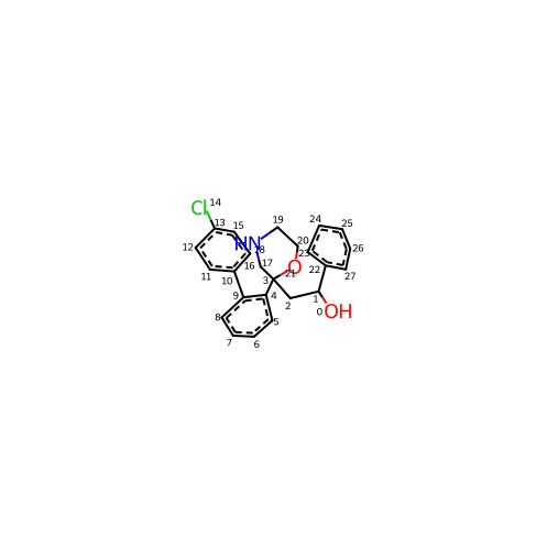 OC(CC1(c2ccccc2-c2ccc(Cl)cc2)CNCCO1)c1ccccc1